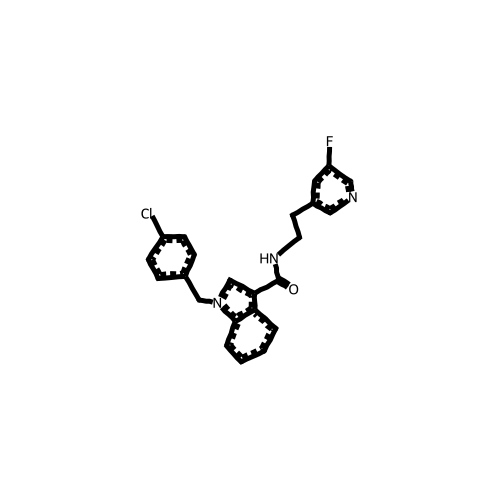 O=C(NCCc1cncc(F)c1)c1cn(Cc2ccc(Cl)cc2)c2ccccc12